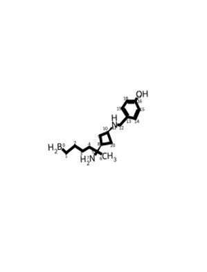 BCCCCC(C)(N)[C@H]1C[C@@H](NCc2ccc(O)cc2)C1